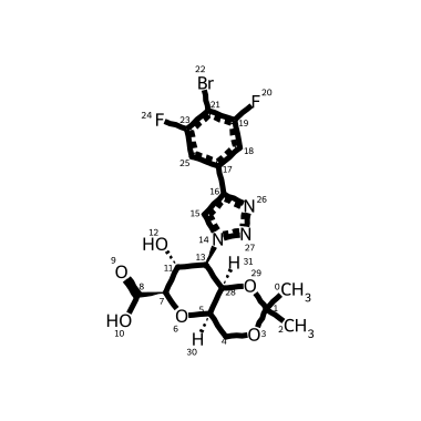 CC1(C)OC[C@H]2O[C@@H](C(=O)O)[C@H](O)[C@@H](n3cc(-c4cc(F)c(Br)c(F)c4)nn3)[C@H]2O1